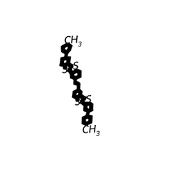 Cc1ccc(-c2ccc3sc4c5cc(/C=C/c6ccc7sc8c9cc(-c%10ccc(C)cc%10)ccc9sc8c7c6)ccc5sc4c3c2)cc1